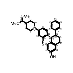 COC(OC)C1CCN(c2ccc([C@@H]3c4ccc(O)cc4CC[C@@H]3c3ccccc3)c(F)c2)CC1